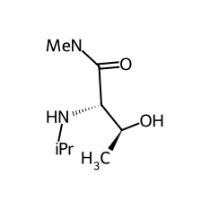 CNC(=O)[C@@H](NC(C)C)[C@H](C)O